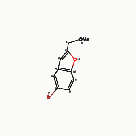 COCc1cc2cc(Br)ccc2o1